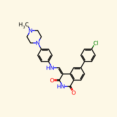 CN1CCN(c2ccc(NC=C3C(=O)NC(=O)c4ccc(-c5ccc(Cl)cc5)cc43)cc2)CC1